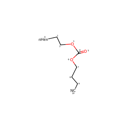 CCCCCCCCOC(=O)OCCCC#N